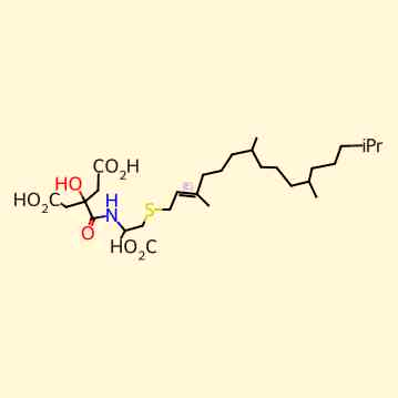 C/C(=C\CSCC(NC(=O)C(O)(CC(=O)O)CC(=O)O)C(=O)O)CCCC(C)CCCC(C)CCCC(C)C